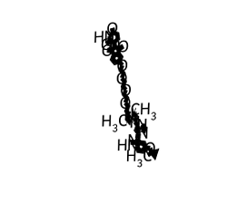 C[C@@H]1CN(c2cc(-c3n[nH]c4ccc(OC5(C)CC5)cc34)ncn2)C[C@H](C)N1CCOCCOCCOCCOc1ccc2c(c1)C(=O)N(C1CCC(=O)NC1=O)C2=O